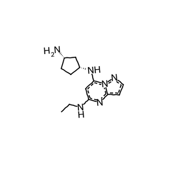 CCNc1cc(N[C@@H]2CC[C@H](N)C2)n2nccc2n1